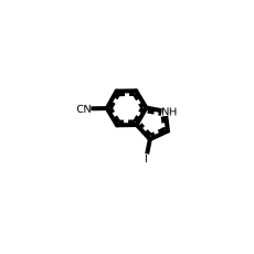 [C-]#[N+]c1ccc2[nH]cc(I)c2c1